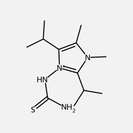 Cc1c(C(C)C)[n+](NC(N)=S)c(C(C)C)n1C